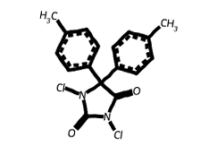 Cc1ccc(C2(c3ccc(C)cc3)C(=O)N(Cl)C(=O)N2Cl)cc1